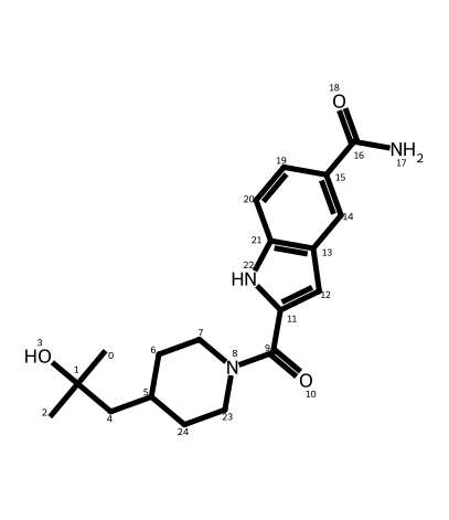 CC(C)(O)CC1CCN(C(=O)c2cc3cc(C(N)=O)ccc3[nH]2)CC1